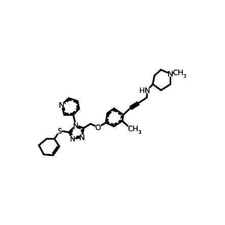 Cc1cc(OCc2nnc(SC3C=CCCC3)n2-c2cccnc2)ccc1C#CCNC1CCN(C)CC1